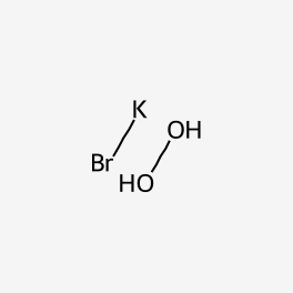 OO.[K][Br]